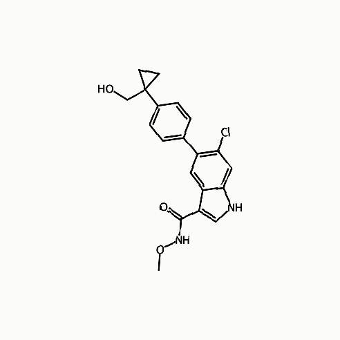 CONC(=O)c1c[nH]c2cc(Cl)c(-c3ccc(C4(CO)CC4)cc3)cc12